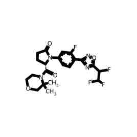 CC1(C)COCCN1C(=O)[C@@H]1CCC(=O)N1c1ccc(-c2noc(C(F)C(F)F)n2)c(F)c1